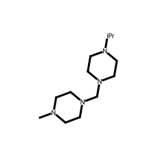 CC(C)N1CCN(CN2CCN(C)CC2)CC1